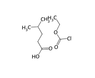 CC(C)CCC(=O)O.CCOC(=O)Cl